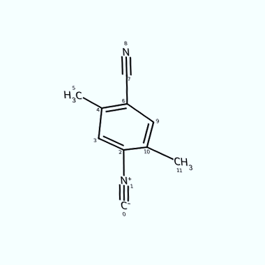 [C-]#[N+]c1cc(C)c(C#N)cc1C